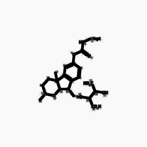 CCCCCCCNC(=O)Oc1ccc2c(c1)C1(C)CCN(C)OC1N2C.O=C(O)C(O)C(O)C(=O)O